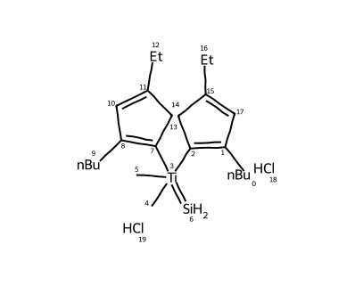 CCCCC1=[C]([Ti]([CH3])([CH3])(=[SiH2])[C]2=C(CCCC)C=C(CC)C2)CC(CC)=C1.Cl.Cl